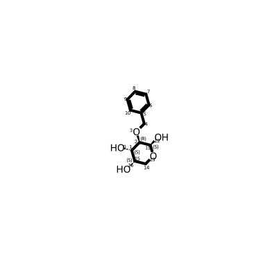 O[C@@H]1[C@@H](OCc2ccccc2)[C@@H](O)OC[C@@H]1O